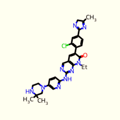 CCn1c(=O)c(-c2ccc(C3=NCC(C)=N3)cc2Cl)cc2cnc(Nc3ccc(N4CCNC(C)(C)C4)cn3)nc21